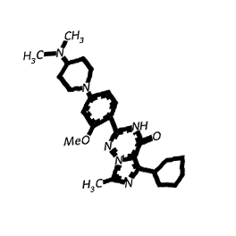 COc1cc(N2CCC(N(C)C)CC2)ccc1-c1nn2c(C)nc(C3CCCCC3)c2c(=O)[nH]1